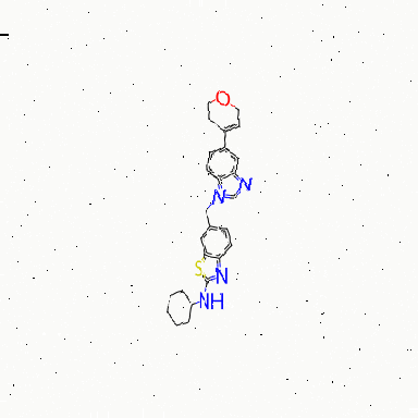 C1=C(c2ccc3c(c2)ncn3Cc2ccc3nc(NC4CCCCC4)sc3c2)CCOC1